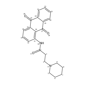 O=C(CCN1CCCCC1)Nc1cccc2c1C(=O)c1ccccc1C2=O